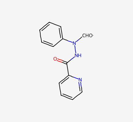 O=[C]N(NC(=O)c1ccccn1)c1ccccc1